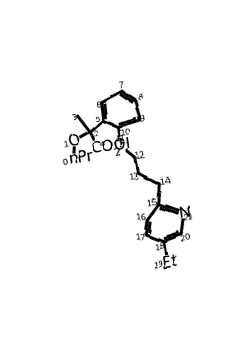 CCCOC(C)(C(=O)O)c1ccccc1OCCCc1ccc(CC)cn1